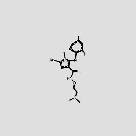 CC(=O)c1cc(C(=O)NOCCN(C)C)c(Nc2ccc(I)cc2F)n1C